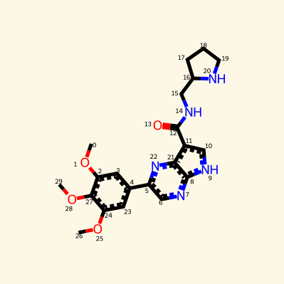 COc1cc(-c2cnc3[nH]cc(C(=O)NCC4CCCN4)c3n2)cc(OC)c1OC